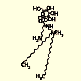 CCCCCCCCCCCCCCCC[N+](C)(CCCCCCCCCCCCCCCC)CCN[C@@H](CCCCN)C(=O)O[C@]1(Cl)O[C@H](CO)[C@@H](O)[C@H](O)[C@@H]1O